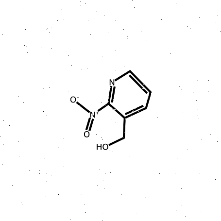 O=[N+]([O-])c1ncccc1CO